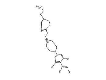 CCCC1CCC(CC[SiH]2CCC(c3cc(F)c(C(F)=CF)c(F)c3)CC2)CC1